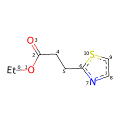 CCOC(=O)CCc1nccs1